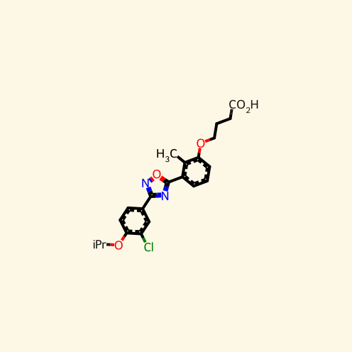 Cc1c(OCCCC(=O)O)cccc1-c1nc(-c2ccc(OC(C)C)c(Cl)c2)no1